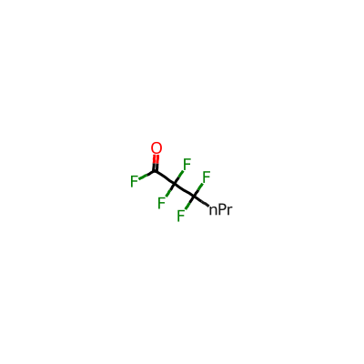 CCCC(F)(F)C(F)(F)C(=O)F